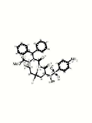 COC(=O)N[C@H](C(=O)OC(=O)[C@H](CC(F)(F)CCN)N(C(C)C)S(=O)(=O)c1ccc(N)cc1)C(c1ccccc1)c1ccccc1